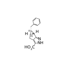 O=C(O)c1[nH]nc2c1C[C@H]1[C@H](Cc3ccccc3)[C@@H]21